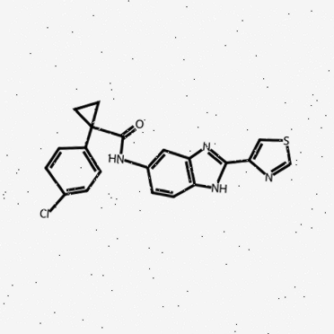 O=C(Nc1ccc2[nH]c(-c3cscn3)nc2c1)C1(c2ccc(Cl)cc2)CC1